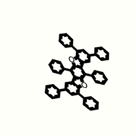 c1ccc(-c2cc(-c3ccccc3)c3oc4c(-c5ccccc5)c5c(oc6c(-c7ccccc7)cc(-c7ccccc7)cc65)c(-c5ccccc5)c4c3c2)cc1